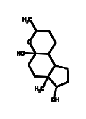 CC1CCC2C3CCC(O)C3(C)CCC2(O)O1